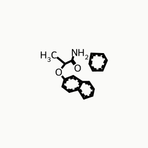 CC(Oc1ccc2ccccc2c1)C(N)=O.c1ccccc1